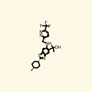 CC(C)(O)c1cc2nc([C@H]3CC[C@H](C)CC3)sc2cc1NCc1ccc(C(F)(F)F)nn1